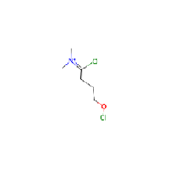 C[N+](C)=C(Cl)CCCOCl